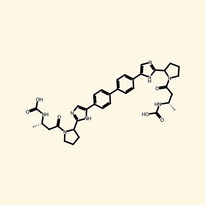 C[C@@H](CC(=O)N1CCCC1c1ncc(-c2ccc(-c3ccc(-c4cnc(C5CCCN5C(=O)C[C@H](C)NC(=O)O)[nH]4)cc3)cc2)[nH]1)NC(=O)O